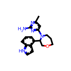 Cc1cc(N2CCCOCC2c2cccc3[nH]ccc23)nc(N)n1